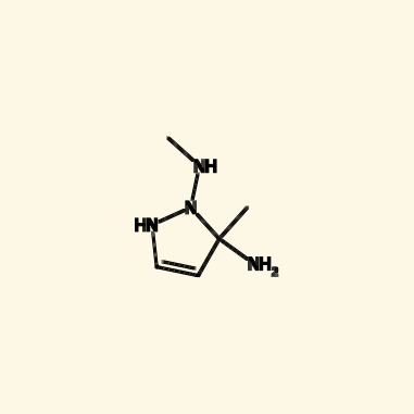 CNN1NC=CC1(C)N